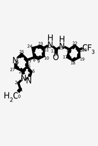 C=CCn1ncc2c(-c3ccc(NC(=O)Nc4cccc(C(F)(F)F)c4)cc3)cncc21